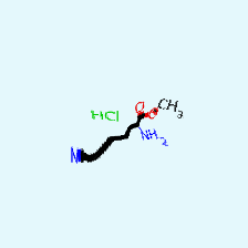 COC(=O)[C@H](N)CCCCC#N.Cl